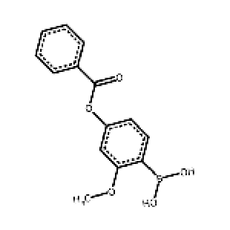 COc1cc(OC(=O)c2ccccc2)ccc1B(O)O